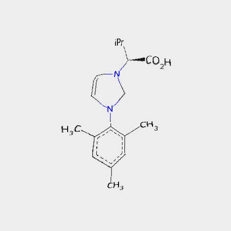 Cc1cc(C)c(N2C=CN([C@H](C(=O)O)C(C)C)C2)c(C)c1